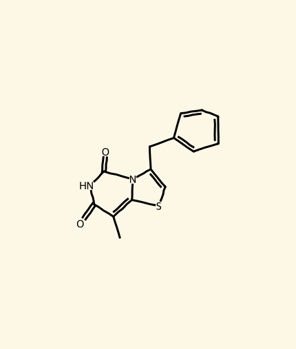 Cc1c(=O)[nH]c(=O)n2c(Cc3ccccc3)csc12